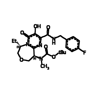 CC[C@H]1COC[C@H](N(C)C(=O)OC(C)(C)C)c2nc(C(=O)NCc3ccc(F)cc3)c(O)c(=O)n21